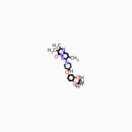 [2H]C1(Oc2ccc3c(c2)OC([2H])([2H])C([2H])([2H])O3)CCN(c2nn3c(=O)c(C)c(C)nc3cc2C)CC1